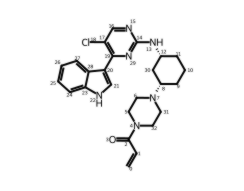 C=CC(=O)N1CCN([C@H]2CCC[C@@H](Nc3ncc(Cl)c(-c4c[nH]c5ccccc45)n3)C2)CC1